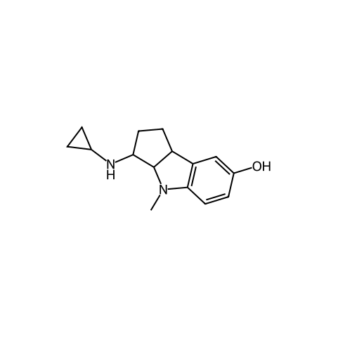 CN1c2ccc(O)cc2C2CCC(NC3CC3)C21